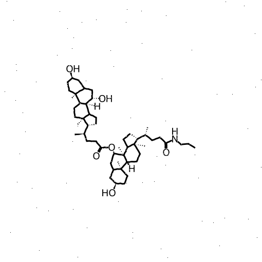 CCCNC(=O)CC[C@@H](C)[C@H]1CCC2[C@]3(C)[C@@H](OC(=O)CC[C@@H](C)[C@H]4CCC5[C@H]6C(CC[C@@]54C)[C@@]4(C)CC[C@@H](O)CC4C[C@@H]6O)CC4C[C@H](O)CC[C@]4(C)[C@H]3CC[C@@]21C